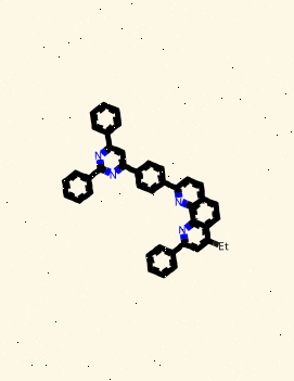 CCc1cc(-c2ccccc2)nc2c1ccc1ccc(-c3ccc(-c4cc(-c5ccccc5)nc(-c5ccccc5)n4)cc3)nc12